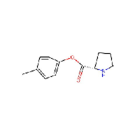 Cc1ccc(OC(=O)[C@@H]2CCCN2)cc1